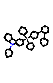 c1ccc(-c2ccccc2-c2ccc([Si](c3ccccc3)(c3ccccc3)c3ccc4c(c3)c3ccccc3n4-c3ccccc3)cc2)cc1